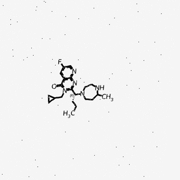 CCC[C@H](c1nc2ncc(F)cc2c(=O)n1CC1CC1)N1CCNC(C)CC1